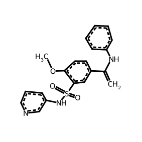 C=C(Nc1ccccc1)c1ccc(OC)c(S(=O)(=O)Nc2cccnc2)c1